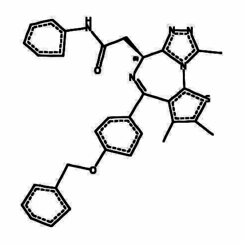 Cc1sc2c(c1C)C(c1ccc(OCc3ccccc3)cc1)=N[C@@H](CC(=O)Nc1ccccc1)c1nnc(C)n1-2